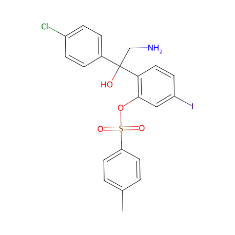 Cc1ccc(S(=O)(=O)Oc2cc(I)ccc2C(O)(CN)c2ccc(Cl)cc2)cc1